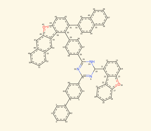 c1ccc(-c2ccc(C3=NC(c4cccc5oc6ccccc6c45)NC(c4ccc(-c5c(-c6ccc7ccccc7c6)ccc6oc7cc8ccccc8cc7c56)cc4)=N3)cc2)cc1